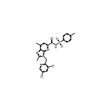 Cc1ccc(S(=O)(=O)NC(=O)c2cc(C)c3nc(C)n(Cc4ncc(Cl)cc4Cl)c3n2)cc1